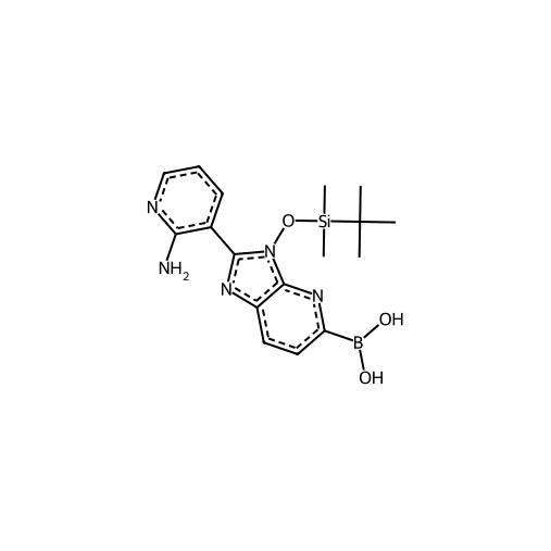 CC(C)(C)[Si](C)(C)On1c(-c2cccnc2N)nc2ccc(B(O)O)nc21